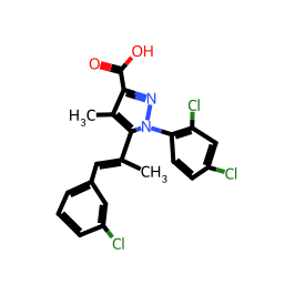 CC(=Cc1cccc(Cl)c1)c1c(C)c(C(=O)O)nn1-c1ccc(Cl)cc1Cl